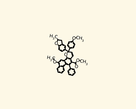 COC(=O)c1c2c(c3cc(OC)c4ccccc4c3c1-c1ccccc1)OC(c1ccc(OC)cc1)(c1ccc3c(c1)CC(C)O3)C=C2